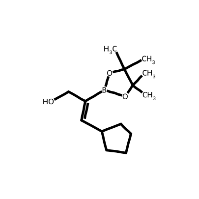 CC1(C)OB(/C(=C\C2CCCC2)CO)OC1(C)C